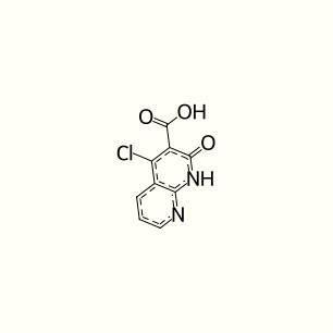 O=C(O)c1c(Cl)c2cccnc2[nH]c1=O